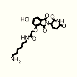 Cl.NCCCCCCNC(=O)COc1cccc2c1C(=O)N(C1CCC(=O)NC1=O)C2=O